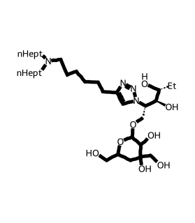 CCCCCCCN(CCCCCCC)CCCCCCc1cn([C@@H](COC2OC(CO)CC(O)(CO)C2O)[C@H](O)[C@H](O)CC)nn1